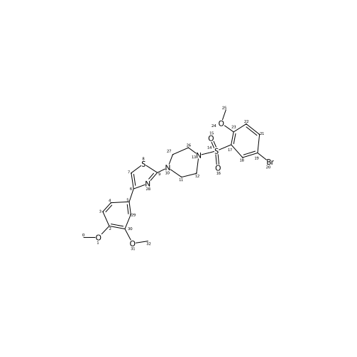 COc1ccc(-c2csc(N3CCN(S(=O)(=O)c4cc(Br)ccc4OC)CC3)n2)cc1OC